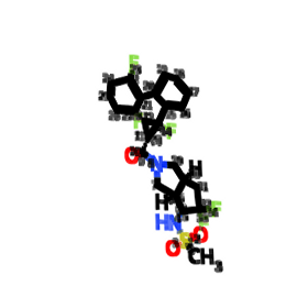 CS(=O)(=O)N[C@H]1[C@H]2CN(C(=O)[C@@H]3C[C@@]3(F)c3ccccc3-c3c(F)cccc3F)C[C@H]2CC1(F)F